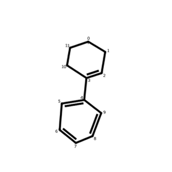 [CH]1CC=C(c2ccccc2)CC1